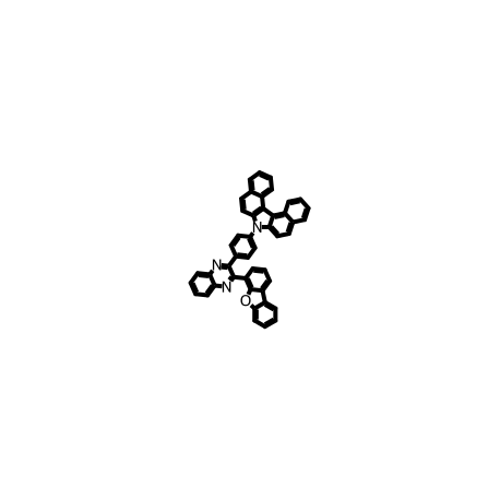 c1ccc2c(c1)ccc1c2c2c3ccccc3ccc2n1-c1ccc(-c2nc3ccccc3nc2-c2cccc3c2oc2ccccc23)cc1